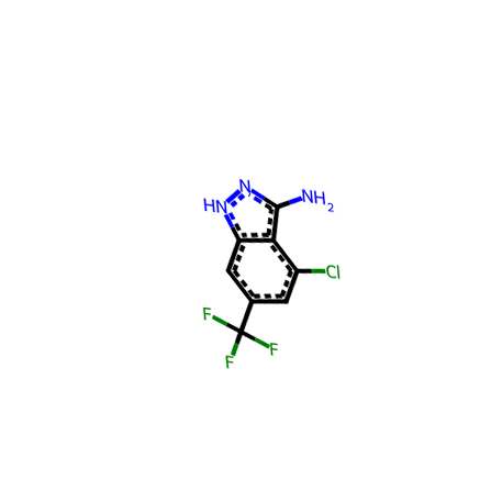 Nc1n[nH]c2cc(C(F)(F)F)cc(Cl)c12